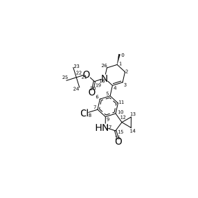 C[C@H]1CC=C(c2cc(Cl)c3c(c2)C2(CC2)C(=O)N3)N(C(=O)OC(C)(C)C)C1